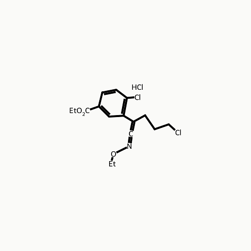 CCON=C=C(CCCCl)c1cc(C(=O)OCC)ccc1Cl.Cl